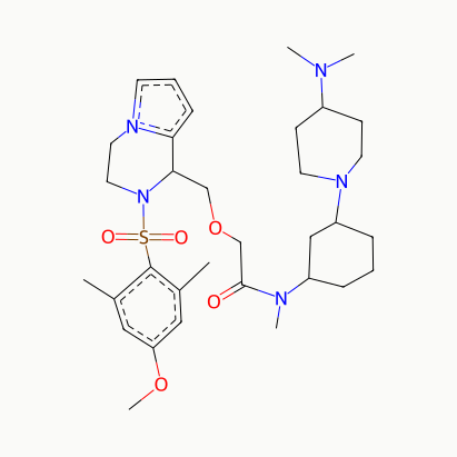 COc1cc(C)c(S(=O)(=O)N2CCn3cccc3C2COCC(=O)N(C)C2CCCC(N3CCC(N(C)C)CC3)C2)c(C)c1